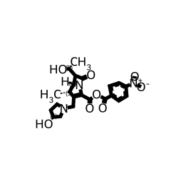 C[C@@H](O)C1C(=O)N2C(C(=O)OC(=O)c3ccc([N+](=O)[O-])cc3)=C(CN3CC[C@H](O)C3)[C@H](C)[C@H]12